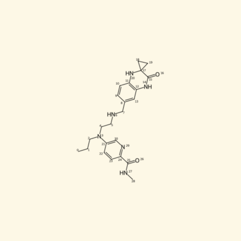 CCCN(CCNCc1ccc2c(c1)NC(=O)C1(CC1)N2)c1ccc(C(=O)NC)nc1